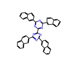 c1ccc2cc(-c3nc(-c4ccc5ccccc5c4)nc(-c4nc(-c5ccc6ccccc6c5)nc(-c5ccc6ccccc6c5)n4)n3)ccc2c1